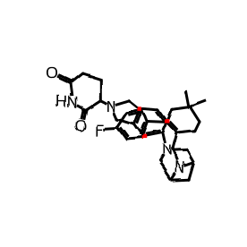 CC1(C)CCC(CN2C3CC2CN(c2ccc4c(c2)CN(C2CCC(=O)NC2=O)C4)C3)=C(c2ccc(F)cc2)C1